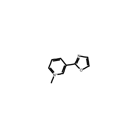 C[n+]1cccc(-c2ncco2)c1